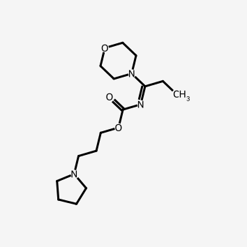 CC/C(=N/C(=O)OCCCN1CCCC1)N1CCOCC1